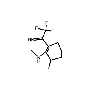 CNC1=C(C(=N)C(F)(F)F)CCCC1C